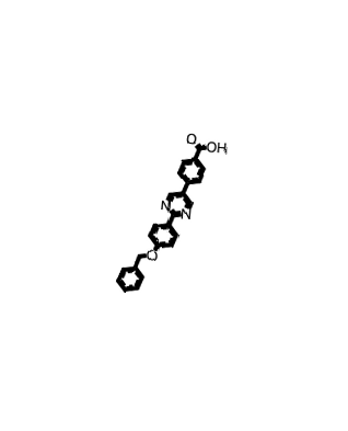 O=C(O)c1ccc(-c2cnc(-c3ccc(OCc4ccccc4)cc3)nc2)cc1